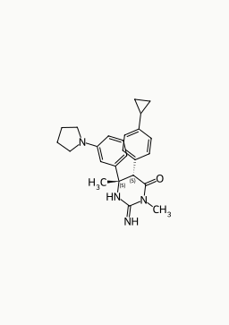 CN1C(=N)N[C@](C)(c2cccc(N3CCCC3)c2)[C@H](c2ccc(C3CC3)cc2)C1=O